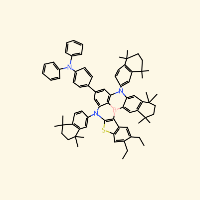 CCc1cc2sc3c(c2cc1CC)B1c2cc4c(cc2N(c2ccc5c(c2)C(C)(C)CCC5(C)C)c2cc(-c5ccc(N(c6ccccc6)c6ccccc6)cc5)cc(c21)N3c1ccc2c(c1)C(C)(C)CCC2(C)C)C(C)(C)CCC4(C)C